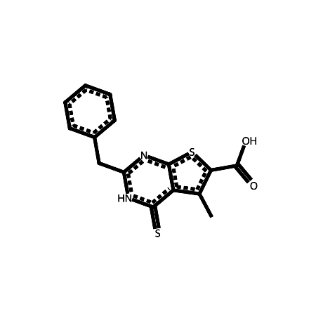 Cc1c(C(=O)O)sc2nc(Cc3ccccc3)[nH]c(=S)c12